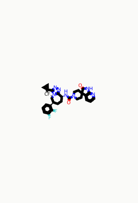 O=C(N[C@@H]1CC[C@@H](c2cccc(F)c2F)Cn2c1nnc2C1(C(F)(F)F)CC1)N1CCC2(CC1)C(=O)Nc1ncccc12